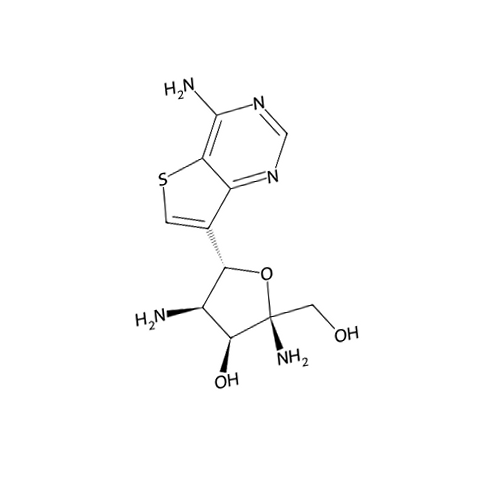 Nc1ncnc2c([C@@H]3O[C@](N)(CO)[C@@H](O)[C@H]3N)csc12